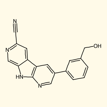 N#Cc1cc2c(cn1)[nH]c1ncc(-c3cccc(CO)c3)cc12